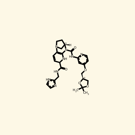 CC1(C)OC[C@H](COc2ccnc(NC(=O)N3C4=C(C=CC(C(=O)NCc5ncc[nH]5)N4)N4CC[C@H]3C4)c2)O1